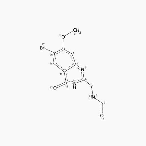 COc1cc2nc(CNC=O)[nH]c(=O)c2cc1Br